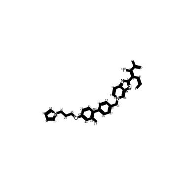 C=C(C)/C(F)=C(\C=C/C)c1nc2ccn(Cc3ccc(-c4ccc(OCCCn5cccc5)cc4C)cc3)cc-2n1